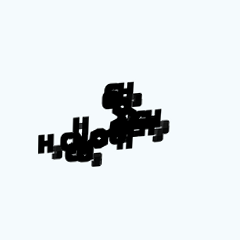 COc1ccc2c(c1)C(=CC(=O)c1ccc(C(=O)NC(C)C)cc1)NC(C)(C)C2